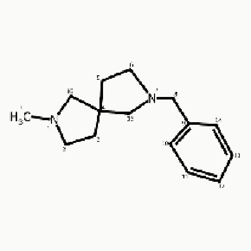 CN1CCC2(CCN(Cc3ccccc3)C2)C1